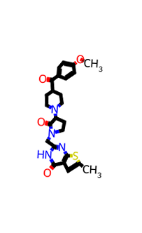 COc1ccc(C(=O)C2CCN(C3CCN(Cc4nc5sc(C)cc5c(=O)[nH]4)C3=O)CC2)cc1